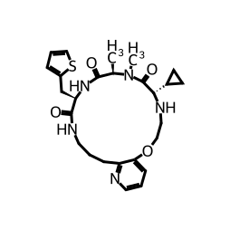 C[C@@H]1C(=O)N[C@H](Cc2cccs2)C(=O)NCCCc2ncccc2OCCN[C@@H](C2CC2)C(=O)N1C